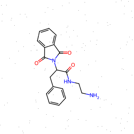 NCCNC(=O)C(Cc1ccccc1)N1C(=O)c2ccccc2C1=O